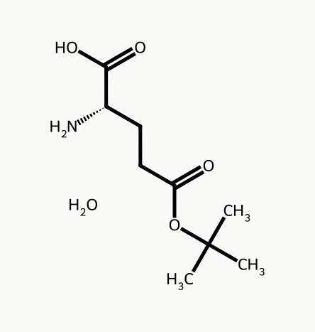 CC(C)(C)OC(=O)CC[C@H](N)C(=O)O.O